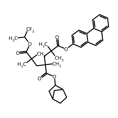 CC(OC(=O)C(C)(C)CC(C)(CC(C)(C)C(=O)Oc1ccc2c(ccc3ccccc32)c1)C(=O)OC1CC2CCC1C2)C(F)(F)F